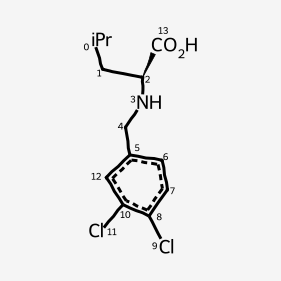 CC(C)C[C@H](NCc1ccc(Cl)c(Cl)c1)C(=O)O